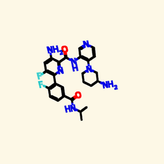 CC(C)NC(=O)c1ccc(F)c(-c2nc(C(=O)Nc3cnccc3N3CCC[C@H](N)C3)c(N)cc2F)c1